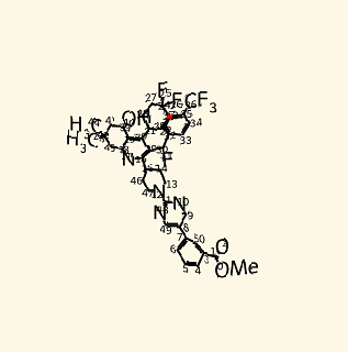 COC(=O)c1cccc(-c2cnc(N3CCC(c4nc5c(c(C6CCC(F)(F)CC6)c4[C@@H](F)c4ccc(C(F)(F)F)cc4)[C@@H](O)CC(C)(C)C5)CC3)nc2)c1